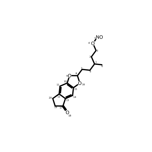 CC(CCON=O)CCC1Oc2cc3c(cc2O1)C(=O)CC3